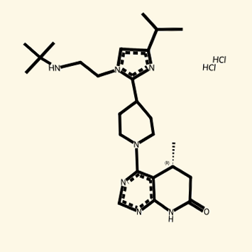 CC(C)c1cn(CCNC(C)(C)C)c(C2CCN(c3ncnc4c3[C@H](C)CC(=O)N4)CC2)n1.Cl.Cl